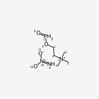 C[N+](C)(C)CCO[PH2]=O.N=[N+]([O-])[O-]